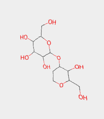 OCC1OCCC(OC2OC(CO)C(O)C(O)C2O)C1O